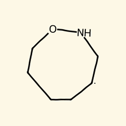 [CH]1CCCCONC1